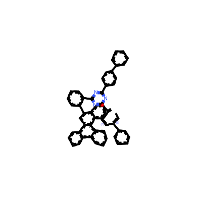 C=C(/C=C\C(=C/C)c1ccccc1)c1nc(-c2ccc(-c3ccccc3)cc2)nc(-c2ccccc2-c2cc3c4ccccc4c4ccccc4c3c3ccccc23)n1